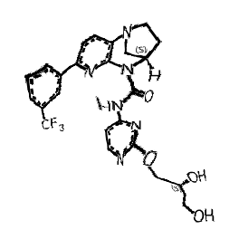 O=C(Nc1ccnc(OC[C@@H](O)CO)n1)N1c2nc(-c3cccc(C(F)(F)F)c3)ccc2N2CC[C@H]1C2